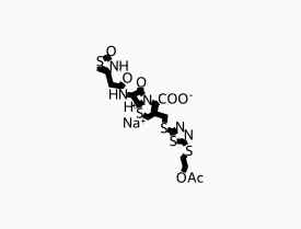 CC(=O)OCCSc1nnc(SCC2=C(C(=O)[O-])N3C(=O)C(NC(=O)Cc4csc(=O)[nH]4)[C@@H]3SC2)s1.[Na+]